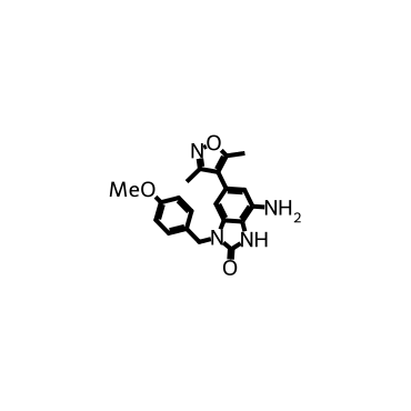 COc1ccc(Cn2c(=O)[nH]c3c(N)cc(-c4c(C)noc4C)cc32)cc1